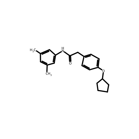 Cc1cc(C)cc(NC(=O)Cc2ccc(OC3CCCC3)cc2)c1